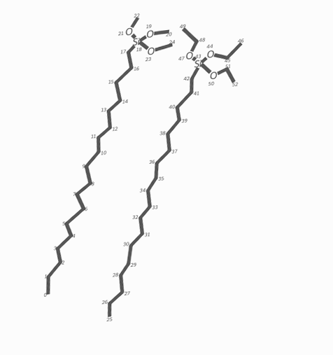 CCCCCCCCCCCCCCCCCC[Si](OC)(OC)OC.CCCCCCCCCCCCCCCCCC[Si](OCC)(OCC)OCC